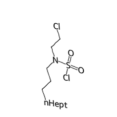 CCCCCCCCCCN(CCCl)S(=O)(=O)Cl